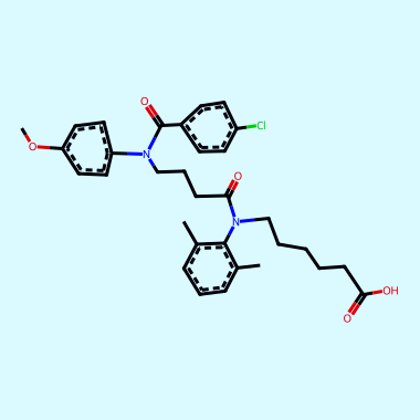 COc1ccc(N(CCCC(=O)N(CCCCCC(=O)O)c2c(C)cccc2C)C(=O)c2ccc(Cl)cc2)cc1